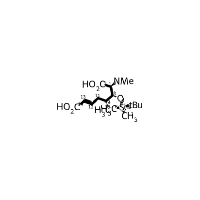 CN[C@H](C(=O)O)[C@H](O[Si](C)(C)C(C)(C)C)[C@H](C)CC=CC(=O)O